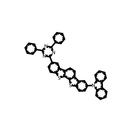 c1ccc(-c2nc(-c3ccccc3)nc(-c3ccc4sc5c(ccc6c7cc(-n8c9ccccc9c9ccccc98)ccc7sc65)c4c3)n2)cc1